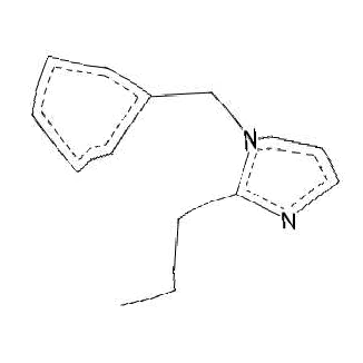 CCCc1nccn1Cc1ccccc1